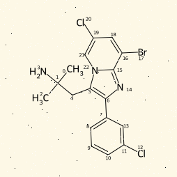 CC(C)(N)Cc1c(-c2cccc(Cl)c2)nc2c(Br)cc(Cl)cn12